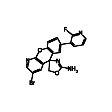 NC1=NC2(CO1)c1cc(-c3cccnc3F)ccc1Oc1ncc(Br)cc12